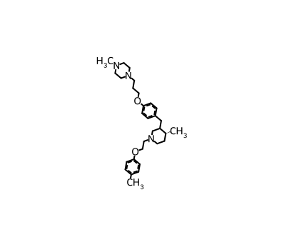 Cc1ccc(OCCN2CC[C@@H](C)C(Cc3ccc(OCCCN4CCN(C)CC4)cc3)C2)cc1